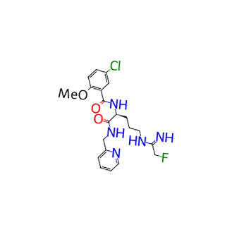 COc1ccc(Cl)cc1C(=O)N[C@@H](CCCNC(=N)CF)C(=O)NCc1ccccn1